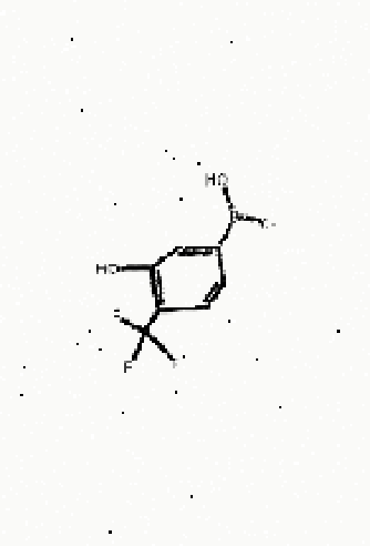 OB(O)c1ccc(C(F)(F)F)c(O)c1